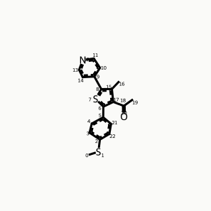 CSc1ccc(-c2sc(-c3ccncc3)c(C)c2C(C)=O)cc1